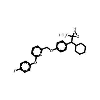 O=C(O)C1(C(c2ccc(OCc3cccc(Oc4ccc(F)cc4)n3)cc2)C2CCCCC2)NO1